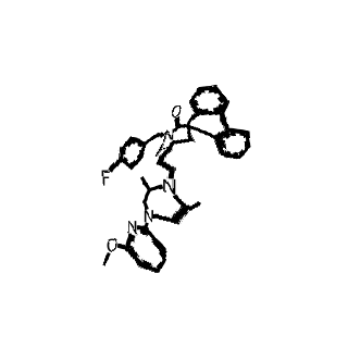 COc1cccc(N2CC(C)N(CCCCC3(C(=O)NCc4ccc(F)cc4)c4ccccc4-c4ccccc43)C(C)C2)n1